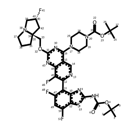 CC(C)(C)OC(=O)Nc1nc2c(-c3ncc4c(N5CCN(C(=O)OC(C)(C)C)CC5)nc(OC[C@@]56CCCN5C[C@H](F)C6)nc4c3F)c(F)cc(F)c2s1